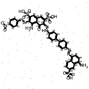 Nc1c(N=Nc2ccc([N+](=O)[O-])cc2)c(S(=O)(=O)O)cc2c1C(=O)/C(=N\Nc1ccc(-c3ccc(N=Nc4ccc(N)c5cc(S(=O)(=O)O)ccc45)cc3)cc1)C(S(=O)(=O)O)=C2